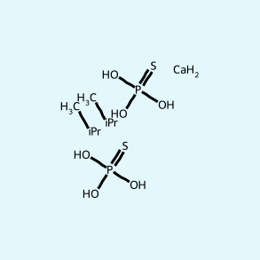 CC(C)C.CC(C)C.OP(O)(O)=S.OP(O)(O)=S.[CaH2]